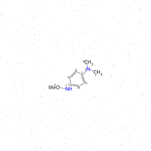 CONc1ccc(N(C)C)cc1